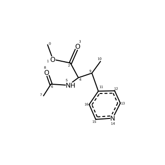 COC(=O)C(NC(C)=O)C(C)c1ccncc1